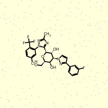 Cc1nc([C@@H]2O[C@H](CO)[C@H](O)[C@H](n3ccc(-c4cccc(F)c4)n3)[C@H]2O)n(-c2cc(Cl)ccc2C(F)(F)F)n1